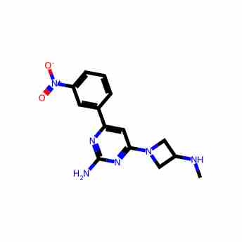 CNC1CN(c2cc(-c3cccc([N+](=O)[O-])c3)nc(N)n2)C1